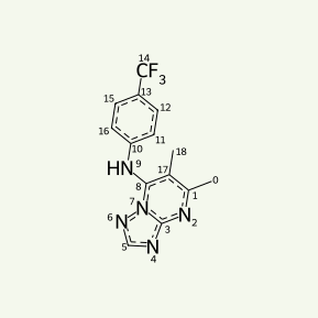 Cc1nc2ncnn2c(Nc2ccc(C(F)(F)F)cc2)c1C